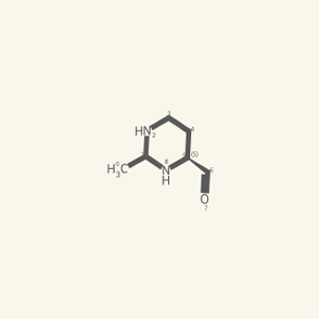 CC1NCC[C@@H](C=O)N1